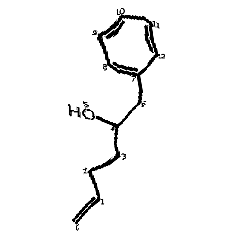 C=CCCC(O)Cc1ccccc1